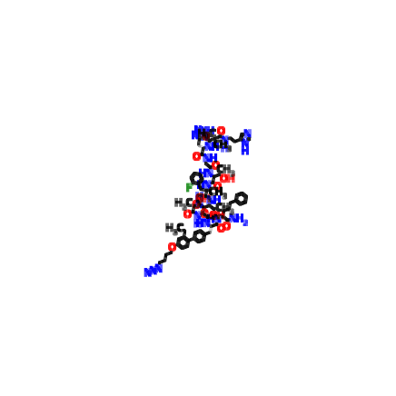 CCc1cc(OCCCCN=[N+]=[N-])ccc1-c1ccc(C[C@H](NC(=O)[C@H](CC(=O)O)NC(=O)[C@H](C)NC(=O)[C@@H](NC(=O)C(C)(Cc2ccccc2F)NC(=O)[C@@H](NC(=O)CNC(=O)[C@H](Cc2nn[nH]n2)NC(=O)C(C)(C)C(=O)NCCc2cnc[nH]2)[C@@H](C)O)[C@@H](C)O)C(=O)N[C@@H](CCCc2ccccc2)C(N)=O)cc1